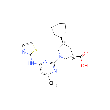 Cc1cc(Nc2nccs2)nc(N2C[C@H](C(=O)O)C[C@H](C3CCCCC3)C2)n1